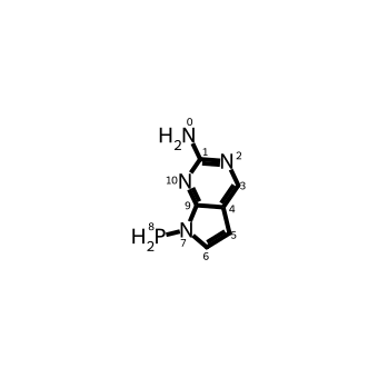 Nc1ncc2ccn(P)c2n1